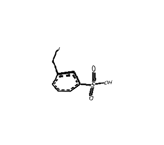 O=S(=O)(O)c1cccc(CI)c1